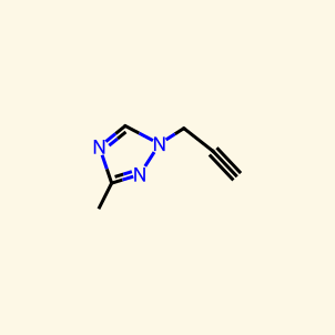 C#CCn1cnc(C)n1